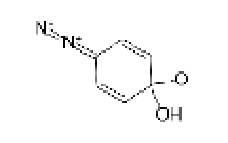 [N-]=[N+]=C1C=CC([O])(O)C=C1